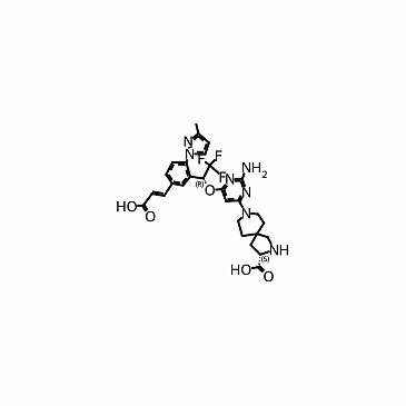 Cc1ccn(-c2ccc(C=CC(=O)O)cc2[C@@H](Oc2cc(N3CCC4(CC3)CN[C@H](C(=O)O)C4)nc(N)n2)C(F)(F)F)n1